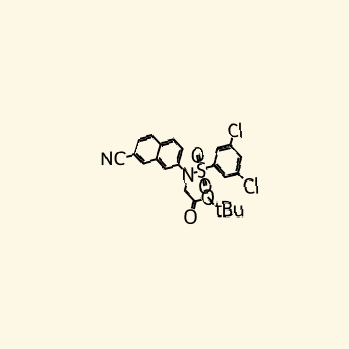 CC(C)(C)OC(=O)CN(c1ccc2ccc(C#N)cc2c1)S(=O)(=O)c1cc(Cl)cc(Cl)c1